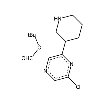 CC(C)(C)OC=O.Clc1cncc(C2CCCNC2)n1